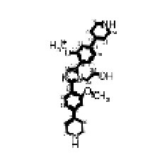 COc1cc(C2=CCNCC2)ccc1-c1nnc(-c2ccc(C3=CCNCC3)cc2OC)n1CCO